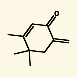 C=C1CC(C)(C)C(C)=CC1=O